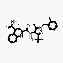 Cc1ccccc1Cn1nc(C(F)(F)F)c(NC(=O)c2cc(C(N)=O)c3ccccc3n2)c1C